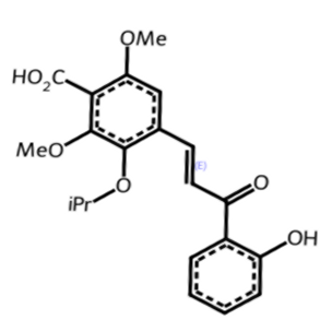 COc1cc(/C=C/C(=O)c2ccccc2O)c(OC(C)C)c(OC)c1C(=O)O